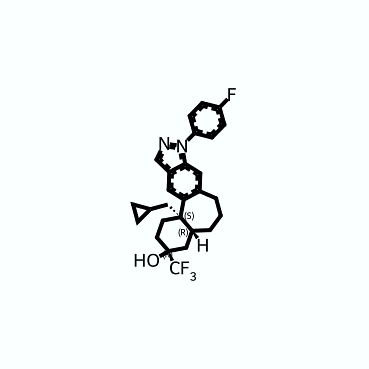 O[C@]1(C(F)(F)F)CC[C@@]2(CC3CC3)c3cc4cnn(-c5ccc(F)cc5)c4cc3CCC[C@@H]2C1